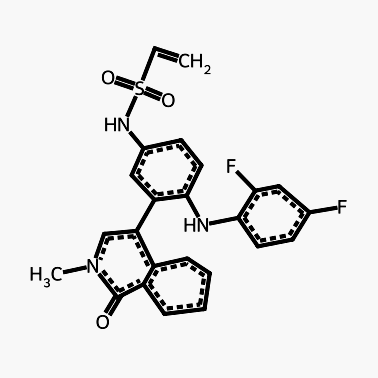 C=CS(=O)(=O)Nc1ccc(Nc2ccc(F)cc2F)c(-c2cn(C)c(=O)c3ccccc23)c1